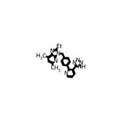 CCc1nc2c(C)cc(C)nc2n1Cc1ccc(-c2ncccc2-c2nnn[nH]2)cc1